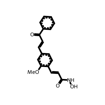 COc1cc(C=CC(=O)c2ccccc2)ccc1C=CC(=O)NO